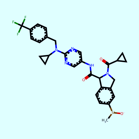 C[S+]([O-])c1ccc2c(c1)CN(C(=O)C1CC1)C2C(=O)Nc1cnc(N(Cc2ccc(C(F)(F)F)cc2)C2CC2)nc1